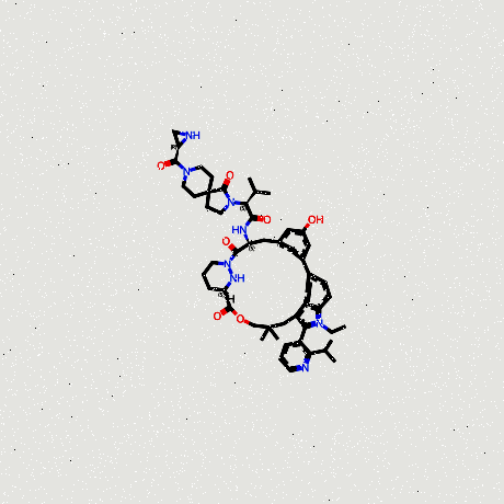 CCn1c(-c2cccnc2C(C)C)c2c3cc(ccc31)-c1cc(O)cc(c1)C[C@H](NC(=O)[C@H](C(C)C)N1CCC3(CCN(C(=O)[C@H]4CN4)CC3)C1=O)C(=O)N1CCC[C@H](N1)C(=O)OCC(C)(C)C2